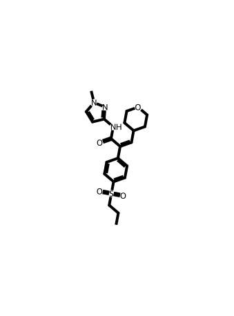 CCCS(=O)(=O)c1ccc(C(=CC2CCOCC2)C(=O)Nc2ccn(C)n2)cc1